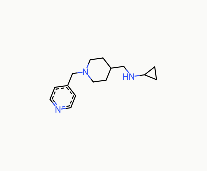 c1cc(CN2CCC(CNC3CC3)CC2)ccn1